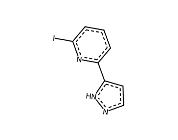 Ic1cccc(-c2ccn[nH]2)n1